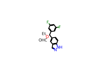 CCOC=O.Fc1cc(F)cc(Cc2ccc3[nH]ncc3c2)c1